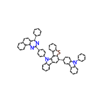 c1ccc(-c2nc(-c3ccc(-n4c5ccccc5c5cc(-c6ccc7c(c6)c6ccccc6n7-c6ccccc6)c6sc7ccccc7c6c54)cc3)nc3c2ccc2ccccc23)cc1